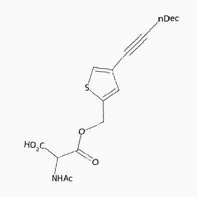 CCCCCCCCCCC#Cc1csc(COC(=O)C(NC(C)=O)C(=O)O)c1